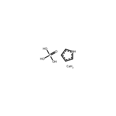 O=P(O)(O)O.[CaH2].c1cc[nH]c1